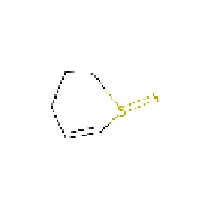 S=S1C=CCCC1